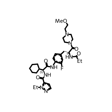 CCC(=O)N[C@H](Cc1ccc(NC(=O)[C@@H](NC(=O)c2ccnn2CC)C2CCCCC2)c(F)c1)C(=O)N1CCN(CCOC)CC1